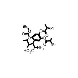 CCC(C)OC(=O)OC(C)C(C)C(c1ccc(OC(=O)C(C)C(C)C)c(OC(=O)C(C)C(C)C)c1)[C@H](N)C(=O)O